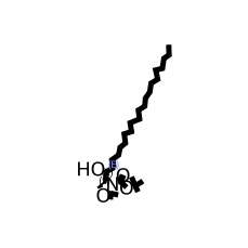 CCCCCCCCCCCCCCCCCC/C=C/[C@@H](O)[C@@H]1COC(C)(C)N1C(=O)OC(C)(C)C